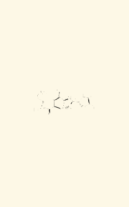 CCN(CCOC)C(=O)c1cc(N)c2nc(C3CC=C(C)O3)nn2c1